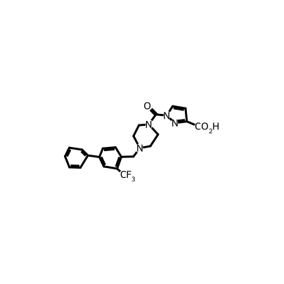 O=C(O)c1ccn(C(=O)N2CCN(Cc3ccc(-c4ccccc4)cc3C(F)(F)F)CC2)n1